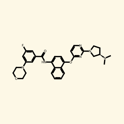 CN(C)[C@@H]1CCN(c2nccc(Oc3ccc(NC(=O)c4cc(F)cc(N5CCOCC5)c4)c4ccccc34)n2)C1